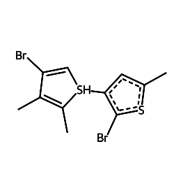 CC1=C(C)[SH](c2cc(C)sc2Br)C=C1Br